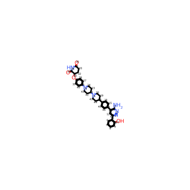 Nc1nnc(-c2ccccc2O)cc1-c1ccc(C2CCN(C3CCN(c4ccc(OC5CCC(=O)NC5=O)cc4)CC3)CC2)cc1